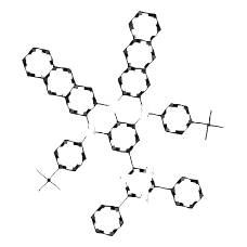 CC(C)(C)c1ccc(N2c3cc4cc5ccccc5cc4cc3B3c4cc5cc6ccccc6cc5cc4N(c4ccc(C(C)(C)C)cc4)c4cc(-c5nc(-c6ccccc6)nc(-c6ccccc6)n5)cc2c43)cc1